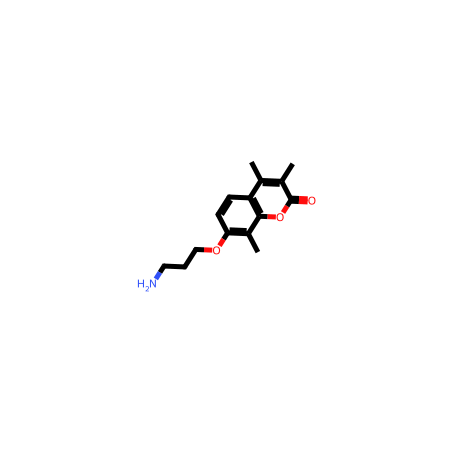 Cc1c(C)c2ccc(OCCCN)c(C)c2oc1=O